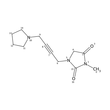 CN1C(=O)CN(CC#CCN2CCCC2)C1=O